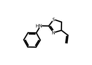 C=CC1CSC(Nc2ccccc2)=N1